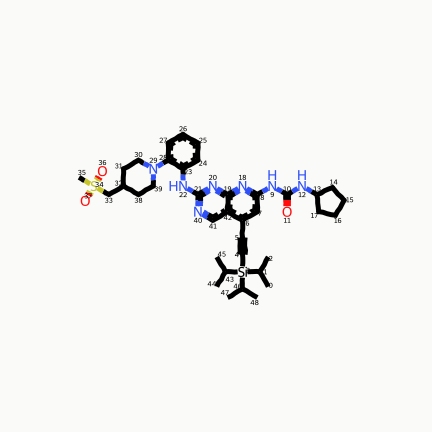 CC(C)[Si](C#Cc1cc(NC(=O)NC2CCCC2)nc2nc(Nc3ccccc3N3CCC(CS(C)(=O)=O)CC3)ncc12)(C(C)C)C(C)C